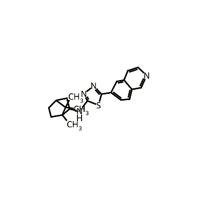 CC1(C)C2CCC1(C)C(Nc1nnc(-c3ccc4cnccc4c3)s1)C2